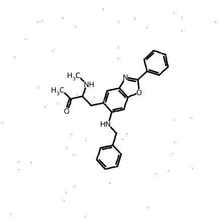 CNC(Cc1cc2nc(-c3ccccc3)oc2cc1NCc1ccccc1)C(C)=O